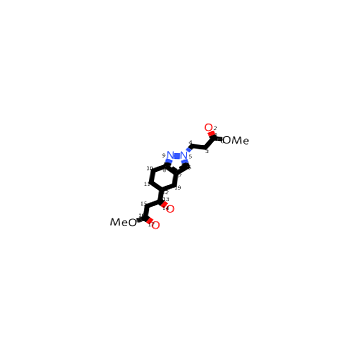 COC(=O)CCn1cc2c(n1)CCC(C(=O)CC(=O)OC)C2